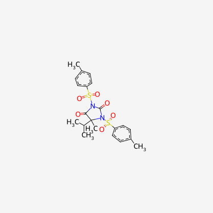 Cc1ccc(S(=O)(=O)N2C(=O)N(S(=O)(=O)c3ccc(C)cc3)C(C)(C(C)C)C2=O)cc1